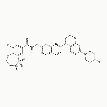 O=C(NCc1cc2nc(N3CCOc4cc(N5CCC(F)CC5)cnc43)ccc2cn1)c1cc(F)c2c(c1)S(=O)(=O)[C@@H](F)CCO2